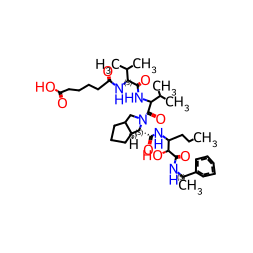 CCCC(NC(=O)[C@@H]1[C@H]2CCCC2CN1C(=O)C(NC(=O)[C@@H](NC(=O)CCCCC(=O)O)C(C)C)C(C)C)C(O)C(=O)N[C@@H](C)c1ccccc1